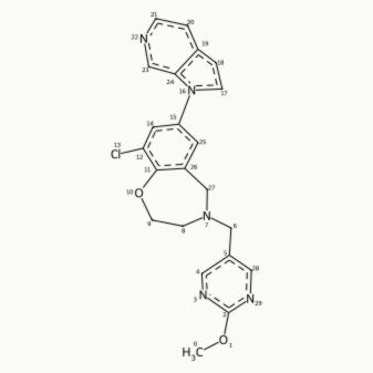 COc1ncc(CN2CCOc3c(Cl)cc(-n4ccc5ccncc54)cc3C2)cn1